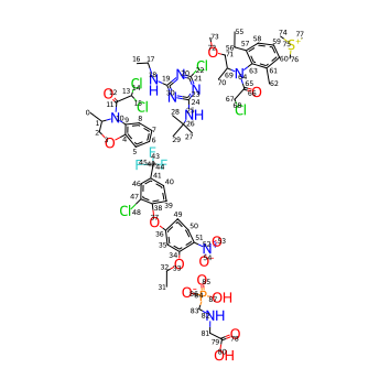 CC1COc2ccccc2N1C(=O)C(Cl)Cl.CCNc1nc(Cl)nc(NC(C)(C)C)n1.CCOc1cc(Oc2ccc(C(F)(F)F)cc2Cl)ccc1[N+](=O)[O-].CCc1cccc(C)c1N(C(=O)CCl)C(C)COC.C[S+](C)C.O=C(O)CNCP(=O)([O-])O